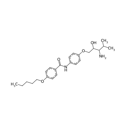 CCCCCOc1ccc(C(=O)Nc2ccc(OCC(O)C(N)C(C)C)cc2)cc1